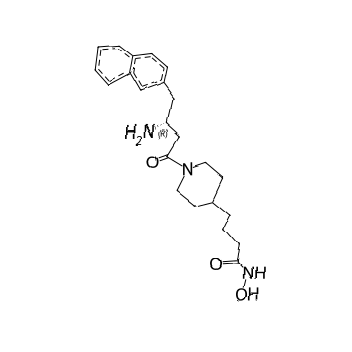 N[C@@H](CC(=O)N1CCC(CCCC(=O)NO)CC1)Cc1ccc2ccccc2c1